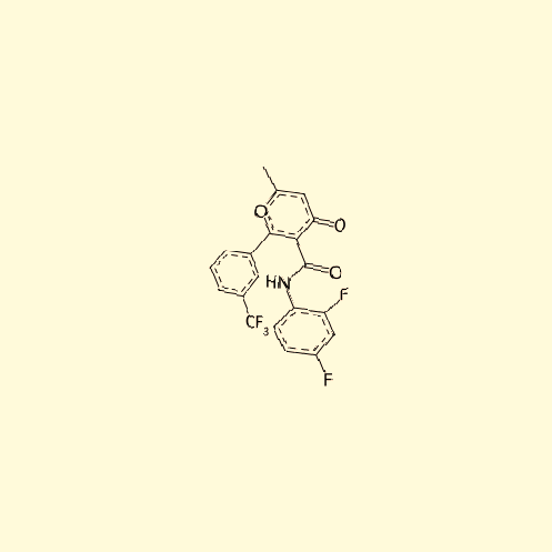 Cc1cc(=O)c(C(=O)Nc2ccc(F)cc2F)c(-c2cccc(C(F)(F)F)c2)o1